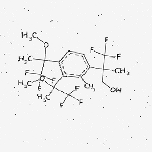 COC(C)(c1ccc(C(C)(CO)C(F)(F)F)c(C)c1C(C)(OC)C(F)(F)F)C(F)(F)F